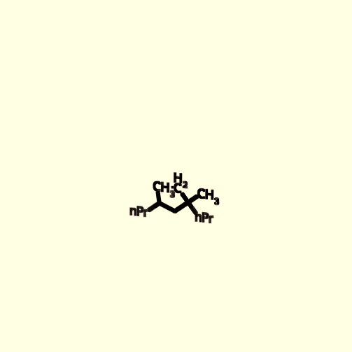 [CH2]C(C)(CCC)CC(C)CCC